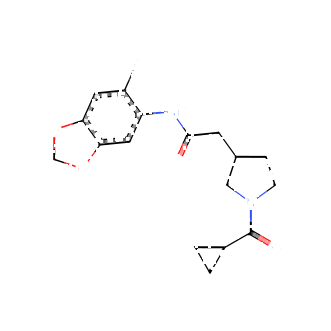 CC(=O)c1cc2c(cc1NC(=O)CC1CCN(C(=O)C3CC3)C1)OCO2